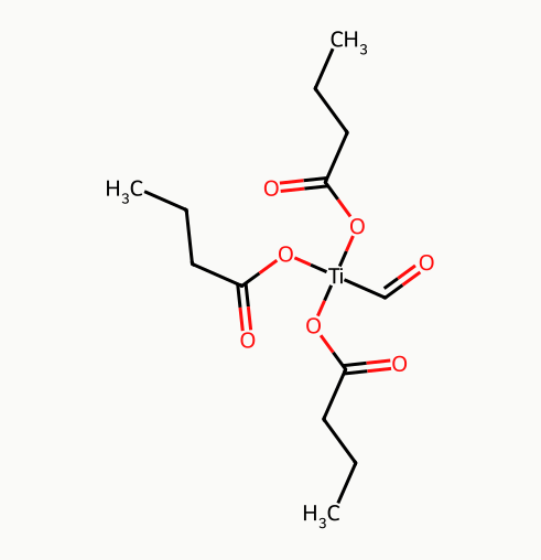 CCCC(=O)[O][Ti]([CH]=O)([O]C(=O)CCC)[O]C(=O)CCC